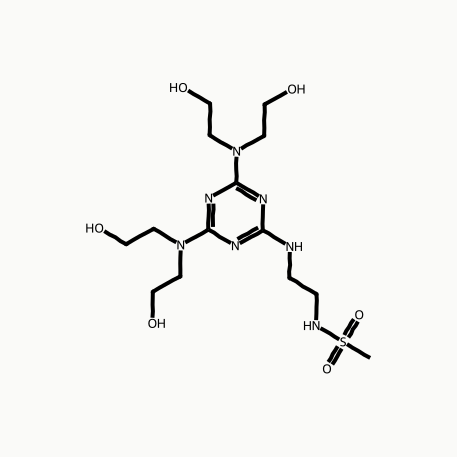 CS(=O)(=O)NCCNc1nc(N(CCO)CCO)nc(N(CCO)CCO)n1